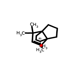 CC1=CC(C)(C)C23CCCC12[C@H](C)CC3